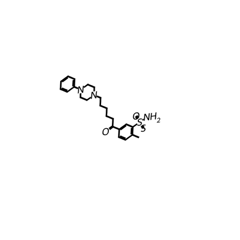 Cc1ccc(C(=O)CCCCCN2CCN(c3ccccc3)CC2)cc1S(N)(=O)=S